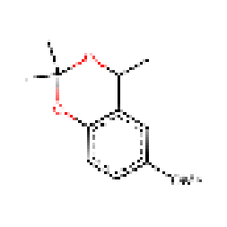 COc1ccc2c(c1)C(C)OC(C)(C)O2